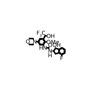 COc1c(NC(=O)N[C@@H]2Cc3c(F)cccc3[C@H]2O)cc(N2CCOCC2)cc1C(O)C(F)(F)F